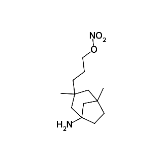 CC1(CCCO[N+](=O)[O-])CC2(C)CCC(N)(C1)C2